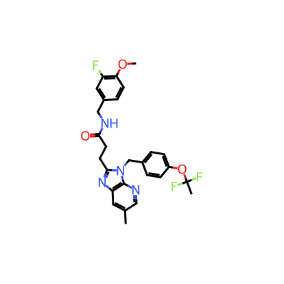 COc1ccc(CNC(=O)CCc2nc3cc(C)cnc3n2Cc2ccc(OC(C)(F)F)cc2)cc1F